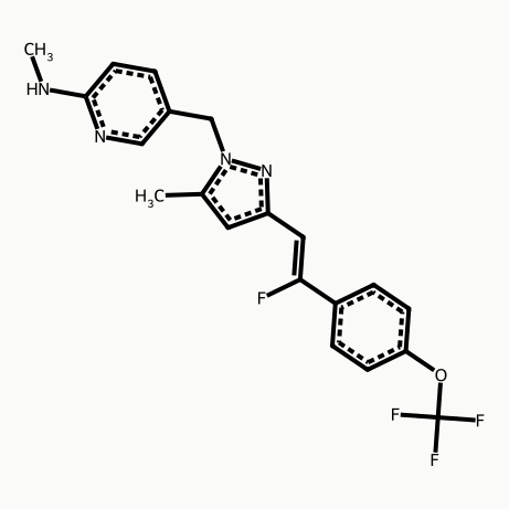 CNc1ccc(Cn2nc(C=C(F)c3ccc(OC(F)(F)F)cc3)cc2C)cn1